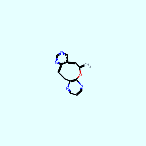 C=C1/C=c2/cncn/c2=C/CC2=C(N=C=CC=N2)O1